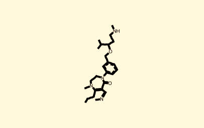 CCCC1=C(/C=N\C)C(=O)N(c2cccc(COC(CCNC)C(C)C)c2)CCN1C